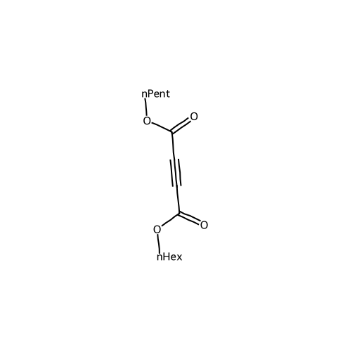 CCCCCCOC(=O)C#CC(=O)OCCCCC